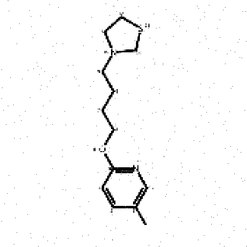 Ic1ccc(OCCCCN2CCSC2)nc1